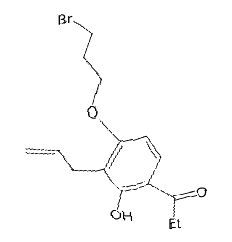 C=CCc1c(OCCCBr)ccc(C(=O)CC)c1O